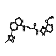 CCCOc1nccc2nc(NC(=O)C=CNc3nccc4ccc(-c5noc(C)n5)cc34)sc12